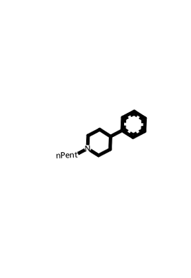 [CH2]CCCCN1CCC(c2ccccc2)CC1